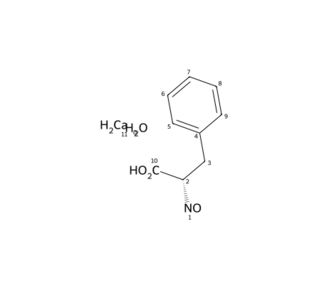 O.O=N[C@@H](Cc1ccccc1)C(=O)O.[CaH2]